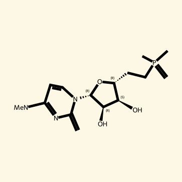 C=C1N=C(NC)C=CN1[C@@H]1O[C@H](CCP(=C)(C)C)[C@@H](O)[C@H]1O